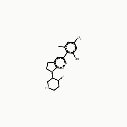 Cc1cc(C(F)(F)F)cc(O)c1-c1cc2c(nn1)N([C@@H]1CNCC[C@@H]1F)CC2